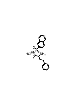 C[C@@H](NS(=O)(=O)c1ccc2cnccc2c1)C(N)CCc1ccccc1.Cl